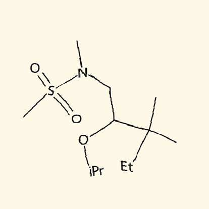 CCC(C)(C)C(CN(C)S(C)(=O)=O)OC(C)C